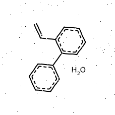 C=Cc1ccccc1-c1ccccc1.O